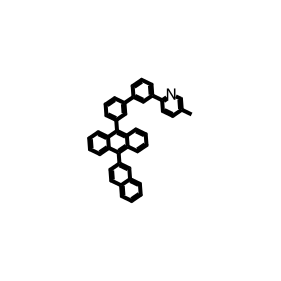 Cc1ccc(-c2cccc(-c3cccc(-c4c5ccccc5c(-c5ccc6ccccc6c5)c5ccccc45)c3)c2)nc1